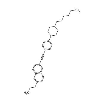 CCCCCCC1CCC(c2ccc(C#Cc3ccc4cc(CCC)ccc4c3)cc2)CC1